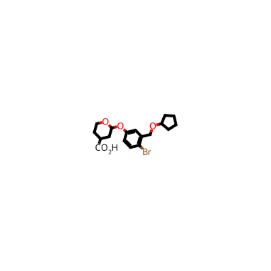 O=C(O)C1CCOC(Oc2ccc(Br)c(COC3CCCC3)c2)C1